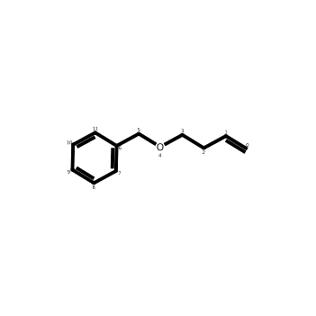 C=CCCOCc1ccccc1